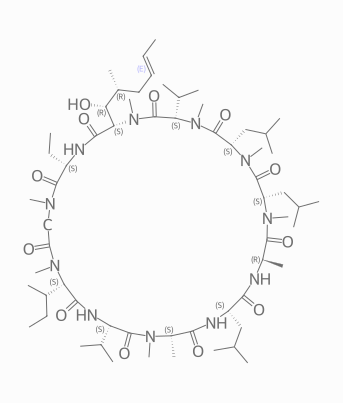 C/C=C/C[C@@H](C)[C@@H](O)[C@H]1C(=O)N[C@@H](CC)C(=O)N(C)CC(=O)N(C)[C@@H](C(C)CC)C(=O)N[C@@H](C(C)C)C(=O)N(C)[C@@H](C)C(=O)N[C@@H](CC(C)C)C(=O)N[C@H](C)C(=O)N(C)[C@@H](CC(C)C)C(=O)N(C)[C@@H](CC(C)C)C(=O)N(C)[C@@H](C(C)C)C(=O)N1C